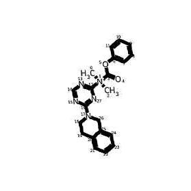 C[N+](C)(C(=O)Oc1cc[c]cc1)c1ncnc(N2CCc3ccccc3C2)n1